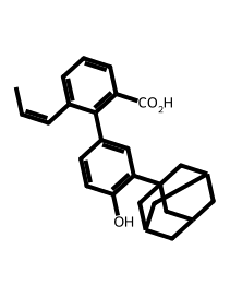 C/C=C\c1cccc(C(=O)O)c1-c1ccc(O)c(C23CC4CC(CC(C4)C2)C3)c1